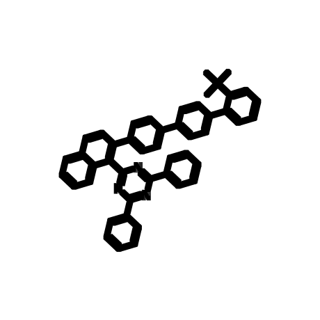 CC(C)(C)c1ccccc1-c1ccc(-c2ccc(-c3ccc4ccccc4c3-c3nc(-c4ccccc4)nc(-c4ccccc4)n3)cc2)cc1